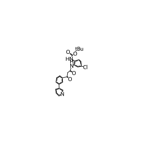 CC(C)(C)OC(=O)Nc1ccc(Cl)cc1NC(=O)CC(=O)c1cccc(-c2cccnc2)c1